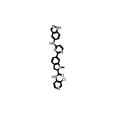 CN1c2cc(-c3nccc(Nc4ccc5[nH]ncc5c4)n3)ccc2CC1C(=O)Nc1ccncc1Cl